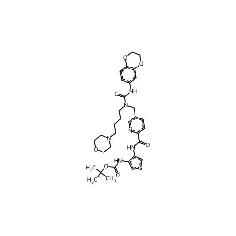 CC(C)(C)OC(=O)Nc1cscc1NC(=O)c1ccc(CN(CCCCN2CCOCC2)C(=O)Nc2ccc3c(c2)OCCO3)cn1